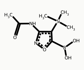 CC(=O)Nc1noc(B(O)O)c1[Si](C)(C)C